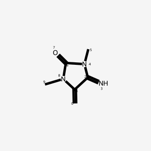 C=C1C(=N)N(C)C(=O)N1C